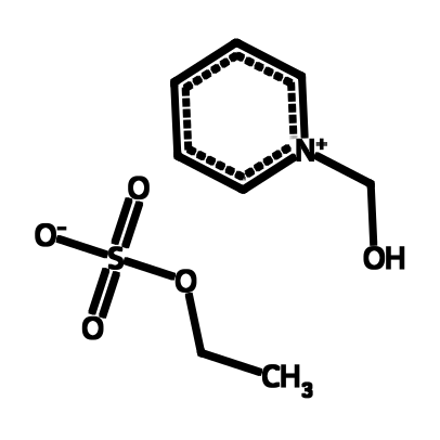 CCOS(=O)(=O)[O-].OC[n+]1ccccc1